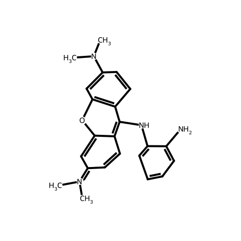 CN(C)c1ccc2c(Nc3ccccc3N)c3ccc(=[N+](C)C)cc-3oc2c1